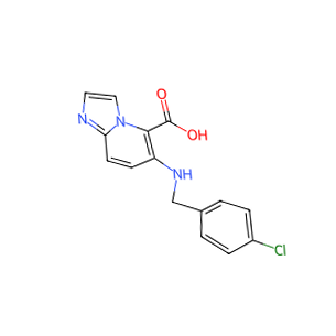 O=C(O)c1c(NCc2ccc(Cl)cc2)ccc2nccn12